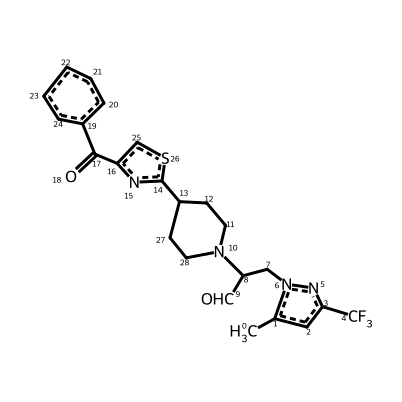 Cc1cc(C(F)(F)F)nn1CC(C=O)N1CCC(c2nc(C(=O)c3ccccc3)cs2)CC1